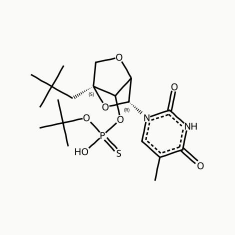 Cc1cn([C@@H]2O[C@@]3(CC(C)(C)C)COC2C3OP(O)(=S)OC(C)(C)C)c(=O)[nH]c1=O